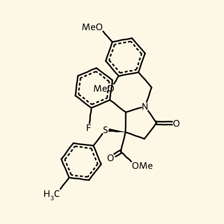 COC(=O)[C@@]1(Sc2ccc(C)cc2)CC(=O)N(Cc2ccc(OC)cc2OC)C1c1ccccc1F